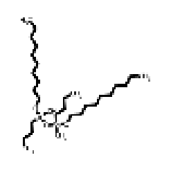 CCCCCCCCCC[O][Sn]([CH3])([CH2]CCC)[O][Sn]([CH3])([CH2]CCC)[O]CCCCCCCCCC